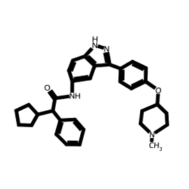 CN1CCC(Oc2ccc(-c3n[nH]c4ccc(NC(=O)C(c5ccccc5)C5CCCC5)cc34)cc2)CC1